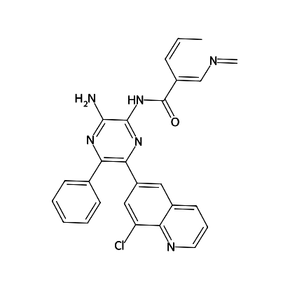 C=N/C=C(\C=C/C)C(=O)Nc1nc(-c2cc(Cl)c3ncccc3c2)c(-c2ccccc2)nc1N